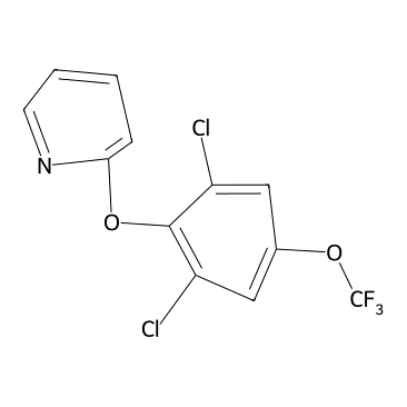 FC(F)(F)Oc1cc(Cl)c(Oc2ccccn2)c(Cl)c1